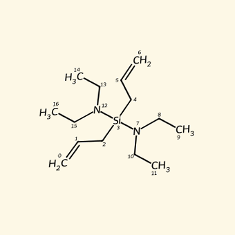 C=CC[Si](CC=C)(N(CC)CC)N(CC)CC